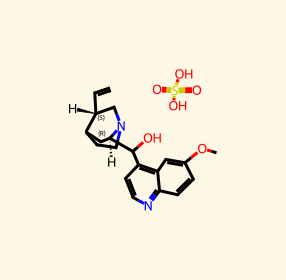 C=C[C@@H]1CN2CCC1C[C@@H]2C(O)c1ccnc2ccc(OC)cc12.O=S(=O)(O)O